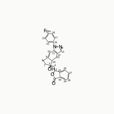 O=C1OC(C[C@]2(O)CCC3=Cc4c(cnn4-c4ccc(F)cc4)CC32)c2ccccc21